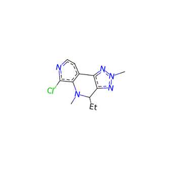 CCC1c2nn(C)nc2-c2ccnc(Cl)c2N1C